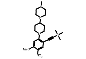 COc1cc(N2CCC(N3CCN(C)CC3)CC2)c(C#C[Si](C)(C)C)cc1[N+](=O)[O-]